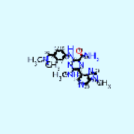 CNc1nc(Nc2ccc(CN(C)C)cc2)c(C(N)=O)nc1-c1cncc2c1ncn2C